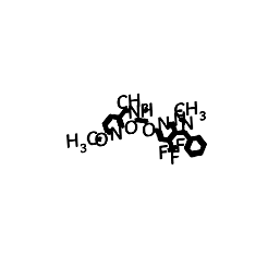 COc1ccc(C(C)NC(=O)COc2cc(C(F)(F)F)c3c(-c4ccccc4)nn(C)c3n2)cn1